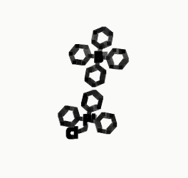 ClC[P+](c1ccccc1)(c1ccccc1)c1ccccc1.c1ccc([B-](c2ccccc2)(c2ccccc2)c2ccccc2)cc1